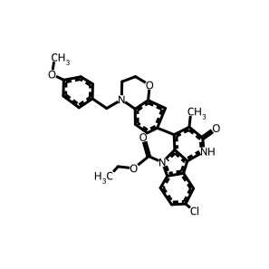 CCOC(=O)n1c2ccc(Cl)cc2c2[nH]c(=O)c(C)c(-c3ccc4c(c3)OCCN4Cc3ccc(OC)cc3)c21